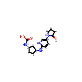 O=C(O)N[C@H]1CC[C@H](Nc2ccc(N3CCCC3=O)cn2)C1